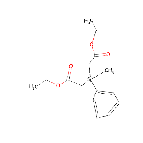 CCOC(=O)C[Si](C)(CC(=O)OCC)c1ccccc1